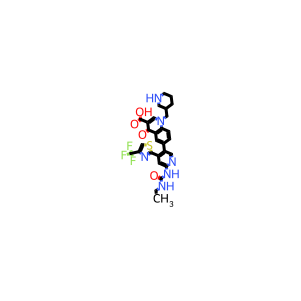 CCNC(=O)Nc1cc(-c2nc(C(F)(F)F)cs2)c(-c2ccc3c(c2)c(=O)c(C(=O)O)cn3CC2CCCNC2)cn1